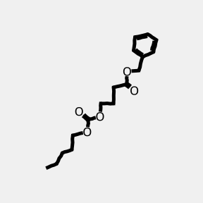 CCCCCOC(=O)OCCCC(=O)OCc1ccccc1